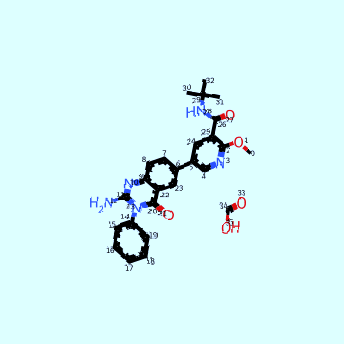 COc1ncc(-c2ccc3nc(N)n(-c4ccccc4)c(=O)c3c2)cc1C(=O)NC(C)(C)C.O=CO